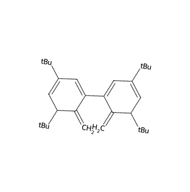 C=C1C(C2=CC(C(C)(C)C)=CC(C(C)(C)C)C2=C)=CC(C(C)(C)C)=CC1C(C)(C)C